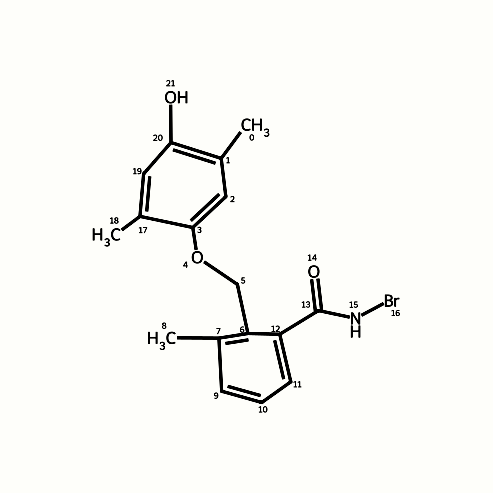 Cc1cc(OCc2c(C)cccc2C(=O)NBr)c(C)cc1O